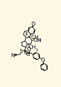 C[C@]12C=CC(=O)C=C1CCC1C3CC[C@](OC(=O)c4ccc(Oc5ccccc5)cc4)(C(=O)SCC#N)[C@@]3(C)C[C@H](O)C12F